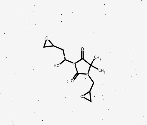 CC1(C)C(=O)N(C(O)CC2CO2)C(=O)N1CC1CO1